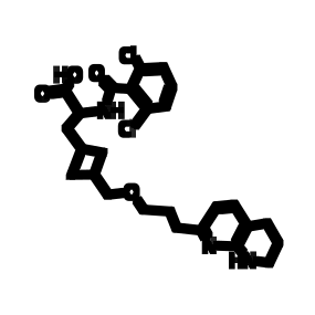 O=C(NC(CC1CC(COCCCc2ccc3c(n2)NCCC3)C1)C(=O)O)c1c(Cl)cccc1Cl